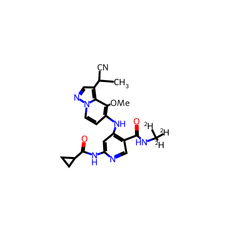 [2H]C([2H])([2H])NC(=O)c1cnc(NC(=O)C2CC2)cc1Nc1ccn2ncc(C(C)C#N)c2c1OC